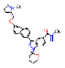 CCN1CCCC1COc1ccc2cc(-c3nn([C@@H]4CCCCO4)c4ccc(C(=O)NC(C)(C)C)cc34)ccc2c1